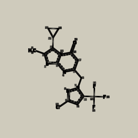 Cc1sc2nc(Cn3nc(Cl)cc3C(F)(F)F)cc(=O)n2c1C1CC1